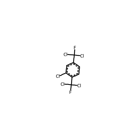 FC(Cl)(Cl)c1ccc(C(F)(Cl)Cl)c(Cl)c1